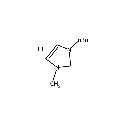 CCCCN1C=CN(C)C1.I